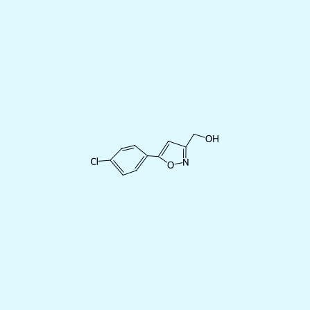 OCc1cc(-c2ccc(Cl)cc2)on1